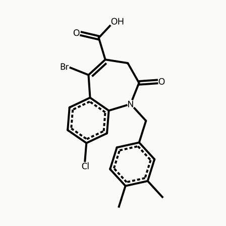 Cc1ccc(CN2C(=O)CC(C(=O)O)=C(Br)c3ccc(Cl)cc32)cc1C